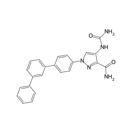 NC(=O)Nc1cn(-c2ccc(-c3cccc(-c4ccccc4)c3)cc2)nc1C(N)=O